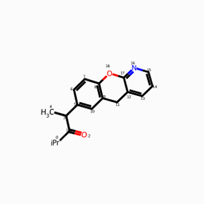 CC(C)C(=O)C(C)c1ccc2c(c1)Cc1cccnc1O2